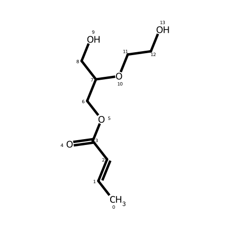 CC=CC(=O)OCC(CO)OCCO